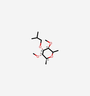 CO[C@@H]1[C@H](OCC(C)C)[C@@H](OC)C(C)O[C@H]1C